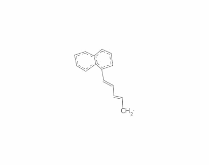 [CH2]C=CC=Cc1cccc2ccccc12